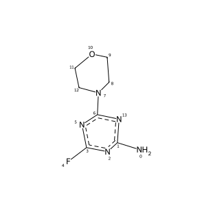 Nc1nc(F)nc(N2CCOCC2)n1